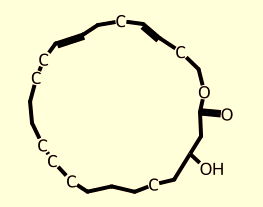 O=C1CC(O)CCCCCCCCCCCC/C=C/CC/C=C/CCO1